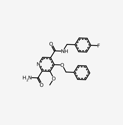 COc1c(C(N)=O)ncc(C(=O)NCc2ccc(F)cc2)c1OCc1ccccc1